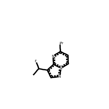 CC(C)c1ccn2ncc(C(C)F)c2n1